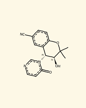 CC1(C)Oc2ccc(C#N)cc2[C@@H](n2cnccc2=O)[C@@H]1O